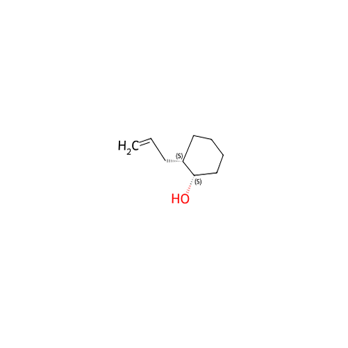 C=CC[C@@H]1CCCC[C@@H]1O